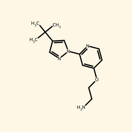 CC(C)(C)c1cnn(-c2cc(OCCN)ccn2)c1